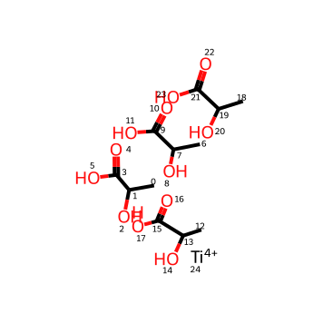 CC(O)C(=O)O.CC(O)C(=O)O.CC(O)C(=O)O.CC(O)C(=O)O.[Ti+4]